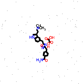 CN(C)CCc1c[nH]c2ccc(Cc3nc(Cc4ccc(C(N)=O)cc4)no3)cc12.O=C(O)C(=O)O